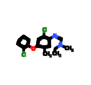 CCN(C)/C=N\c1cc(C)c(Oc2ccccc2Cl)cc1Cl